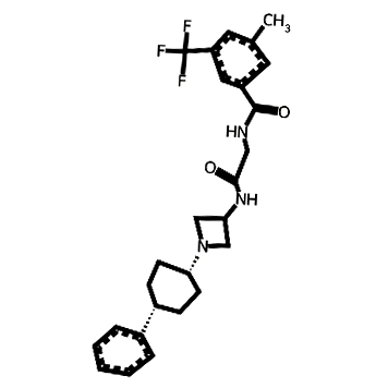 Cc1cc(C(=O)NCC(=O)NC2CN([C@H]3CC[C@@H](c4ccccc4)CC3)C2)cc(C(F)(F)F)c1